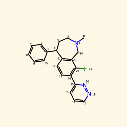 CN1CCC(c2ccccc2)c2ccc(-c3cccnn3)c(F)c2C1